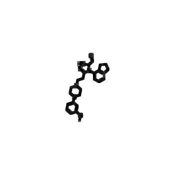 COc1cccc(N2CCN(CCC3=NNC(C=O)N3c3cccc4c3CCC4)CC2)c1